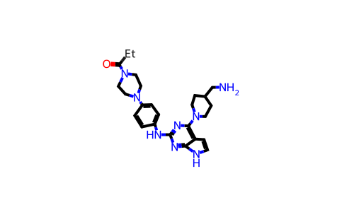 CCC(=O)N1CCN(c2ccc(Nc3nc(N4CCC(CN)CC4)c4cc[nH]c4n3)cc2)CC1